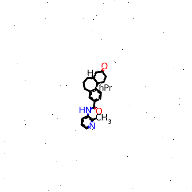 CCC[C@@]12CCC(=O)C[C@@H]1CCCc1cc(C(=O)Nc3cccnc3C)ccc12